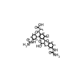 CC(C(=O)O)C(Oc1ccc(NC(N)=O)cc1)c1ccc(C(Oc2ccc(NC(N)=O)cc2)C(C)C(=O)O)c(Cl)c1